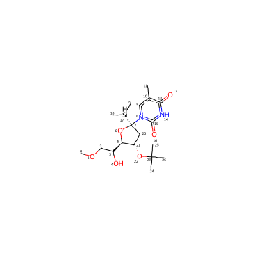 COCC(O)[C@H]1O[C@](n2cc(C)c(=O)[nH]c2=O)([SiH](C)C)C[C@@H]1OC(C)(C)C